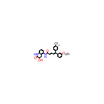 CCCOc1cccc(/C(=C/C=C/C(=O)Nc2cccc3c2CC(O)C(=O)N3)c2ccc(C(F)(F)F)cc2)c1